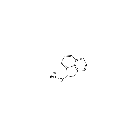 CC[C@@H](C)OC1Cc2cccc3cccc1c23